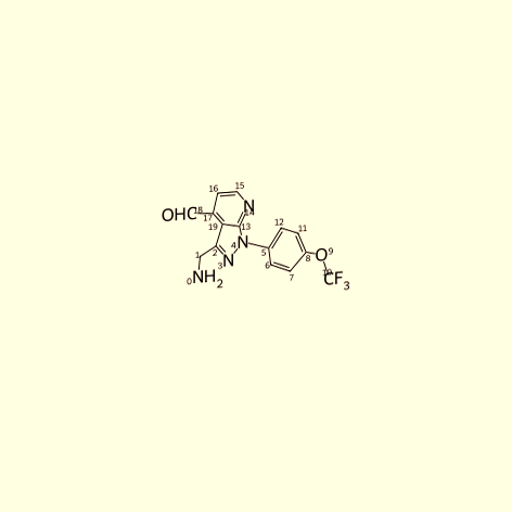 NCc1nn(-c2ccc(OC(F)(F)F)cc2)c2nccc(C=O)c12